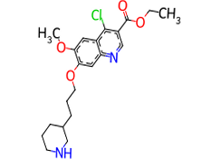 CCOC(=O)c1cnc2cc(OCCCC3CCCNC3)c(OC)cc2c1Cl